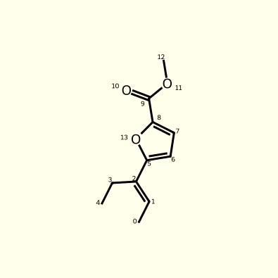 CC=C(CC)c1ccc(C(=O)OC)o1